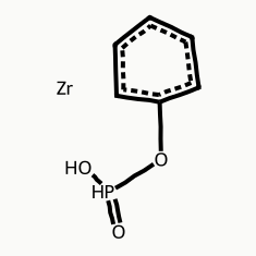 O=[PH](O)Oc1ccccc1.[Zr]